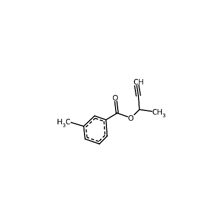 C#CC(C)OC(=O)c1cccc(C)c1